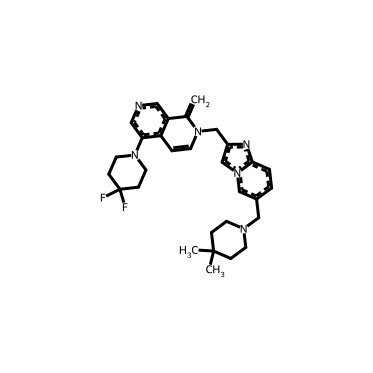 C=C1c2cncc(N3CCC(F)(F)CC3)c2C=CN1Cc1cn2cc(CN3CCC(C)(C)CC3)ccc2n1